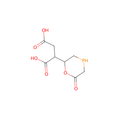 O=C(O)CC(C(=O)O)C1CPCC(=O)O1